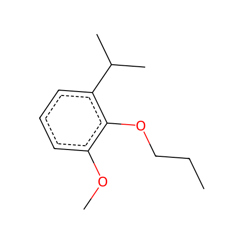 CCCOc1c(OC)cccc1C(C)C